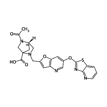 CC(=O)N1CC2(C(=O)O)C[C@H]1CN2Cc1cc2ncc(Oc3nc4ncccc4s3)cc2o1